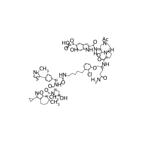 CC(=O)N1CC[C@H]2CC[C@@H](C(=O)N[C@@H](CCC(N)=O)COc3cccc(CCCCCNC(=O)C[C@H](NC(=O)[C@@H]4C[C@@H](O)CN4C(=O)[C@H]4c5onc(C6CC6)c5CCCC4(C)C)c4ccc(-c5scnc5C)cc4)c3Cl)N2C(=O)[C@@H](NC(=O)c2cc3cc(C(=O)P(=O)(O)O)ccc3[nH]2)C1